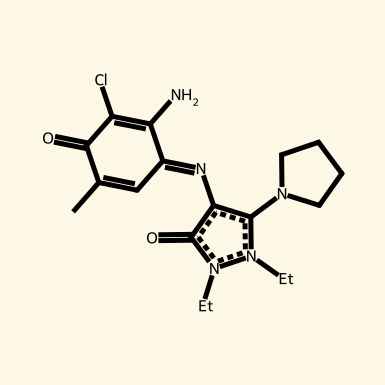 CCn1c(N2CCCC2)c(N=C2C=C(C)C(=O)C(Cl)=C2N)c(=O)n1CC